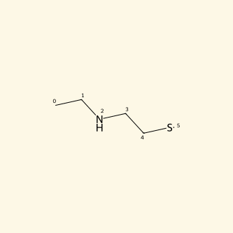 CCNCC[S]